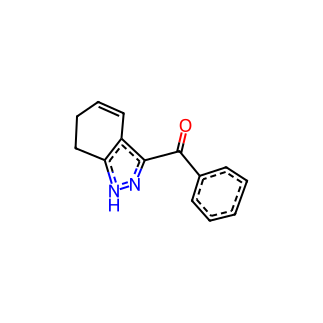 O=C(c1ccccc1)c1n[nH]c2c1C=CCC2